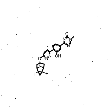 Cn1cnc(-c2ccc(-c3ccc(O[C@H]4CC5NC(C4)[C@@H]4C[C@H]54)nn3)c(O)c2)nc1=O